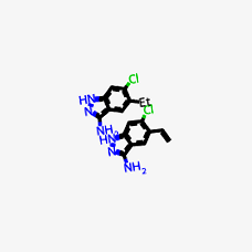 C=Cc1cc2c(N)n[nH]c2cc1Cl.CCc1cc2c(N)n[nH]c2cc1Cl